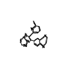 Cc1cccc(-c2nc3scnn3c2-c2ccc3nccnc3c2)n1